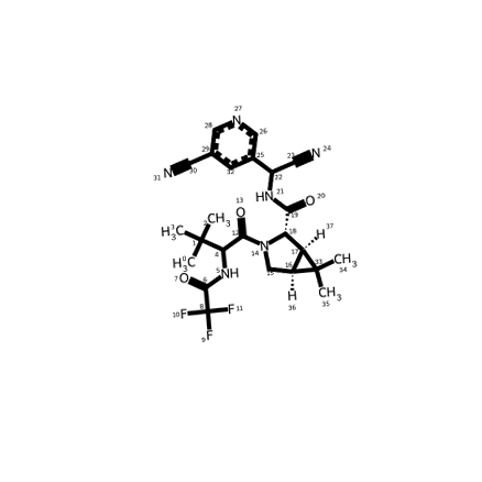 CC(C)(C)C(NC(=O)C(F)(F)F)C(=O)N1C[C@H]2[C@@H]([C@H]1C(=O)NC(C#N)c1cncc(C#N)c1)C2(C)C